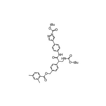 Cc1ccc(C(=O)OCc2ccc(C(CNC(=O)OC(C)(C)C)C(=O)Nc3ccc(-c4cnn(C(=O)OC(C)(C)C)c4)cc3)cc2)c(C)c1